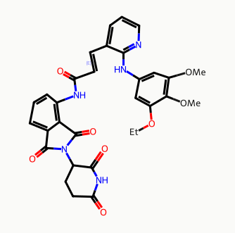 CCOc1cc(Nc2ncccc2/C=C/C(=O)Nc2cccc3c2C(=O)N(C2CCC(=O)NC2=O)C3=O)cc(OC)c1OC